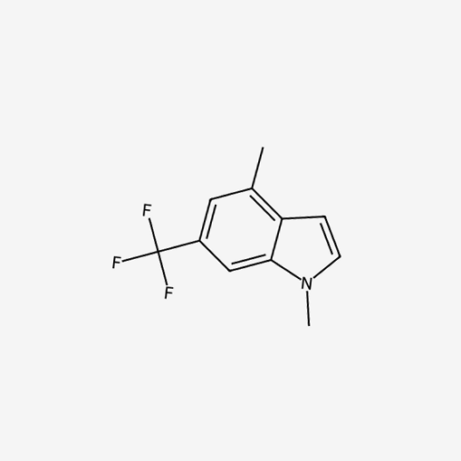 Cc1cc(C(F)(F)F)cc2c1ccn2C